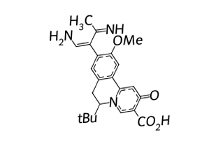 COc1cc2c(cc1/C(=C/N)C(C)=N)CC(C(C)(C)C)n1cc(C(=O)O)c(=O)cc1-2